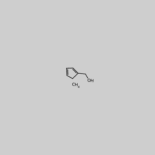 C.OCC1=CC=CC1